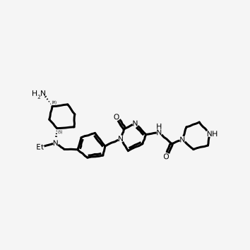 CCN(Cc1ccc(-n2ccc(NC(=O)N3CCNCC3)nc2=O)cc1)[C@H]1CCC[C@@H](N)C1